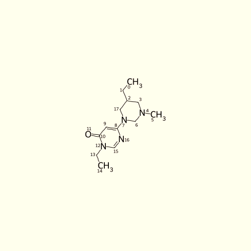 CCC1CN(C)CN(c2cc(=O)n(CC)cn2)C1